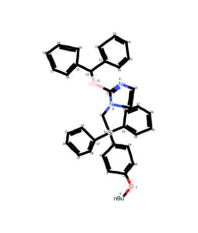 CCCCOc1ccc([Si](Cn2ccnc2BC(c2ccccc2)c2ccccc2)(c2ccccc2)c2ccccc2)cc1